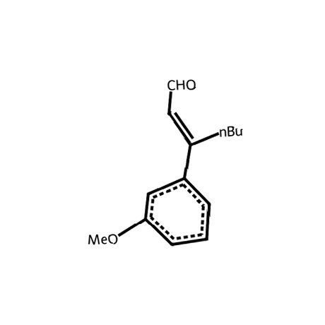 CCCCC(=CC=O)c1cccc(OC)c1